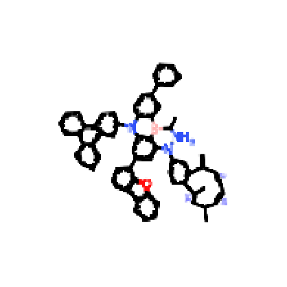 C=C1/C=C\C=C/C(C)/C=C(\C)c2ccc(N(C)c3cc(-c4cccc5c4oc4ccccc45)cc4c3B(C(C)N)c3cc(-c5ccccc5)ccc3N4c3ccc4c5ccccc5c5ccccc5c4c3)cc21